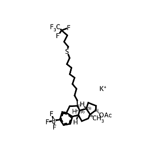 CC(=O)O[C@H]1CC[C@H]2[C@@H]3[C@H](CCCCCCCCCSCCCC(F)(F)C(F)(F)F)Cc4cc([B-](F)(F)F)ccc4[C@H]3CC[C@]12C.[K+]